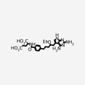 CCOC(CCCc1ccc(C(=O)N[C@@H](CCC(=O)O)C(=O)O)cc1)Cc1c[nH]c2nc(N)nc(N)c12